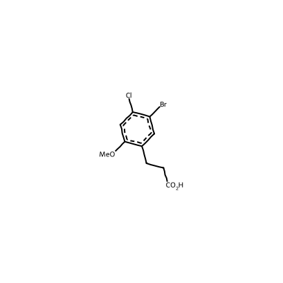 COc1cc(Cl)c(Br)cc1CCC(=O)O